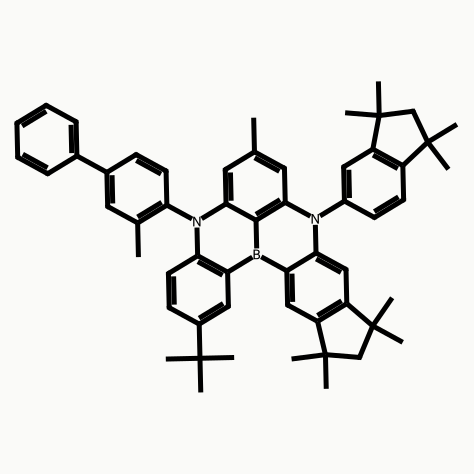 Cc1cc2c3c(c1)N(c1ccc(-c4ccccc4)cc1C)c1ccc(C(C)(C)C)cc1B3c1cc3c(cc1N2c1ccc2c(c1)C(C)(C)CC2(C)C)C(C)(C)CC3(C)C